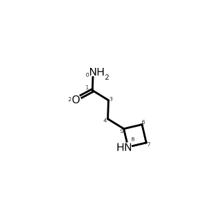 NC(=O)CCC1CCN1